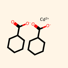 O=C([O-])C1CCCCC1.O=C([O-])C1CCCCC1.[Cd+2]